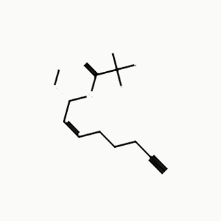 C#CCCC/C=C\[C@H](CO)NC(=O)C(F)(F)F